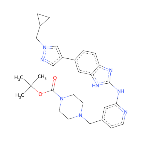 CC(C)(C)OC(=O)N1CCN(Cc2ccnc(Nc3nc4ccc(-c5cnn(CC6CC6)c5)cc4[nH]3)c2)CC1